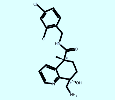 NC[C@]1(O)CC[C@@](F)(C(=O)NCc2ccc(Cl)cc2Cl)c2cccnc21